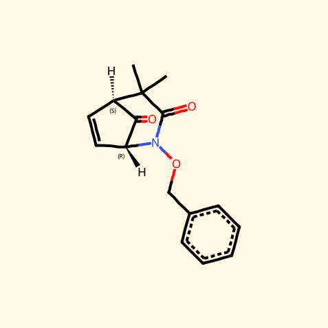 CC1(C)C(=O)N(OCc2ccccc2)[C@@H]2C=C[C@@H]1C2=O